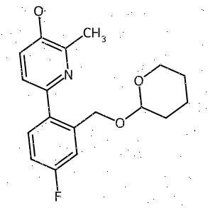 Cc1nc(-c2ccc(F)cc2COC2CCCCO2)ccc1[O]